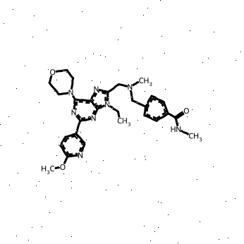 CCn1c(CN(C)Cc2ccc(C(=O)NC)cc2)nc2c(N3CCOCC3)nc(-c3ccc(OC)nc3)nc21